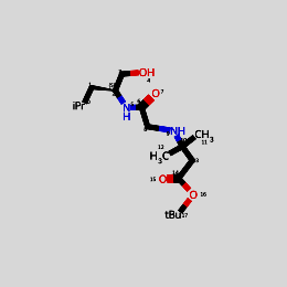 CC(C)C[C@@H](CO)NC(=O)CNC(C)(C)CC(=O)OC(C)(C)C